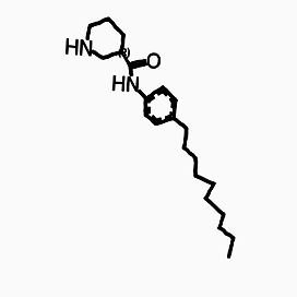 CCCCCCCCCCc1ccc(NC(=O)[C@@H]2CCCNC2)cc1